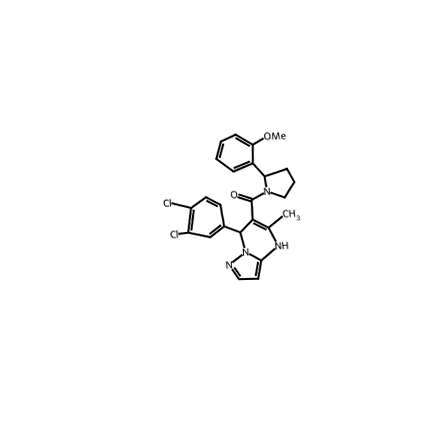 COc1ccccc1C1CCCN1C(=O)C1=C(C)Nc2ccnn2C1c1ccc(Cl)c(Cl)c1